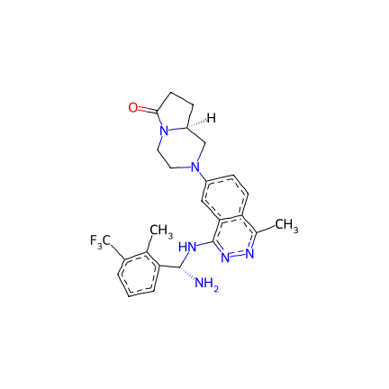 Cc1c([C@@H](N)Nc2nnc(C)c3ccc(N4CCN5C(=O)CC[C@H]5C4)cc23)cccc1C(F)(F)F